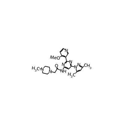 COc1ccncc1-c1nc(NC(=O)CN2CCN(C)CC2)cc(-n2nc(C)cc2C)n1